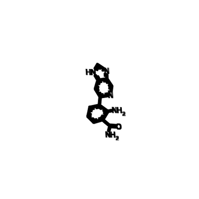 NC(=O)c1cccc(-c2cc3[nH]cnc3cn2)c1N